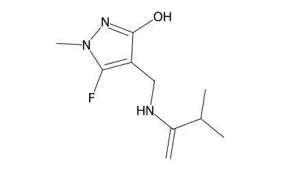 C=C(NCc1c(O)nn(C)c1F)C(C)C